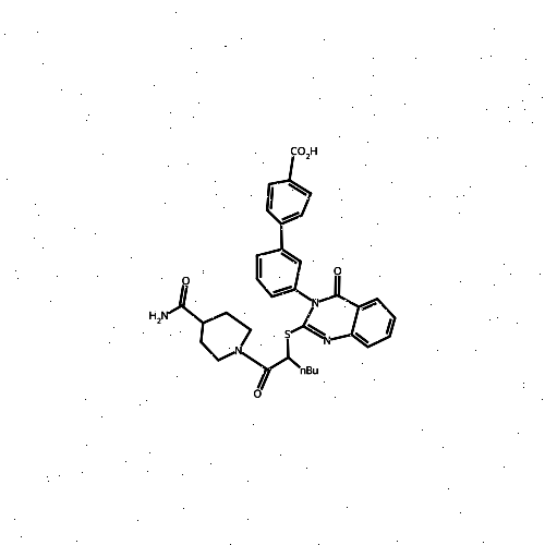 CCCCC(Sc1nc2ccccc2c(=O)n1-c1cccc(-c2ccc(C(=O)O)cc2)c1)C(=O)N1CCC(C(N)=O)CC1